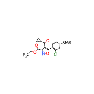 CSc1ccc(-c2onc(C(=O)OCC(F)(F)F)c2C(=O)C2CC2)c(Cl)c1